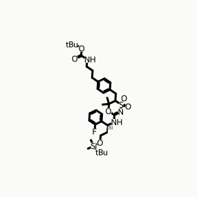 CC(C)(C)OC(=O)NCCCc1ccc(CC2C(C)(C)OC(N[C@@H](CCO[Si](C)(C)C(C)(C)C)c3ccccc3F)=NS2(=O)=O)cc1